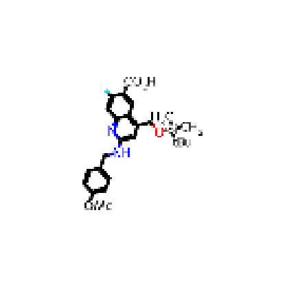 COc1ccc(CNc2cc(CO[Si](C)(C)C(C)(C)C)c3cc(C(=O)O)c(F)cc3n2)cc1